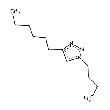 CCCCCCc1cn(CCCC)nn1